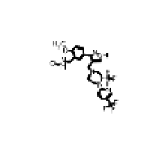 COc1ccc(-c2n[nH]cc2CN2CCN(c3ccc(C(F)(F)F)cn3)[C@@H](C(F)(F)F)C2)cc1CNC=O